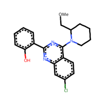 COCC1CCCCN1c1nc(-c2ccccc2O)nc2cc(Cl)ccc12